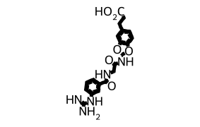 N=C(N)Nc1cccc(C(=O)NCC(=O)N[C@H]2Oc3ccc(CCC(=O)O)cc3O2)c1